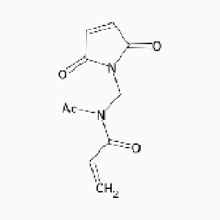 C=CC(=O)N(CN1C(=O)C=CC1=O)C(C)=O